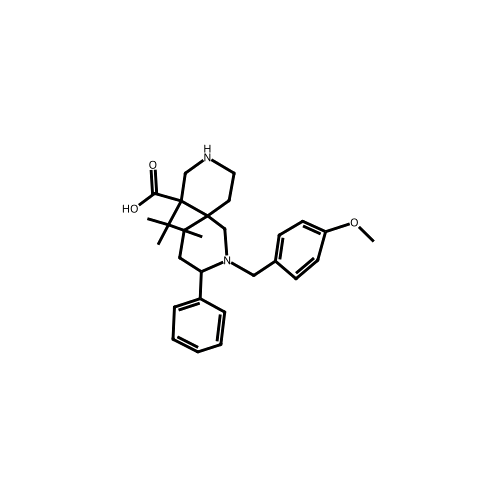 COc1ccc(CN2CC3(CCNCC3(C(=O)O)C(C)(C)C)CCC2c2ccccc2)cc1